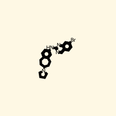 Brc1ccc2cnc(Nc3ccc4c(c3)CC[C@@H](N3CCCC3)CC4)nc2c1